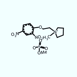 COS(=O)(=O)[O-].C[N+]1(CCOc2ccc([N+](=O)[O-])cc2[N+](=O)[O-])CCCC1